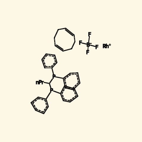 C1=C\CC/C=C\CC/1.CCCC(P(c1ccccc1)c1ccccc1)P(c1ccccc1)c1ccccc1.F[B-](F)(F)F.[Rh+]